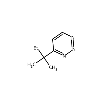 CCC(C)(C)c1ccnnn1